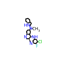 CN(c1ccc2ncc(C#N)c(Nc3ccc(F)c(Cl)c3)c2c1)c1cc2ccccc2[nH]1